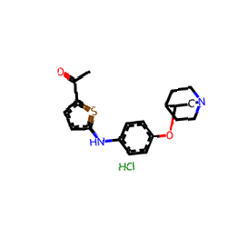 CC(=O)c1ccc(Nc2ccc(OC3CN4CCC3CC4)cc2)s1.Cl